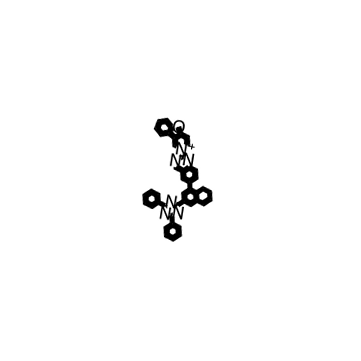 C1=Cc2cc(-c3nc(-c4ccccc4)nc(-c4ccccc4)n3)cc(-c3ccc4nc(-[n+]5ccc6oc7ccccc7c6c5)ncc4c3)c2CC1